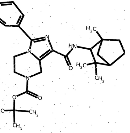 CC(C)(C)OC(=O)N1CCn2c(-c3ccccc3)nc(C(=O)NC3C4(C)CCC(C4)C3(C)C)c2C1